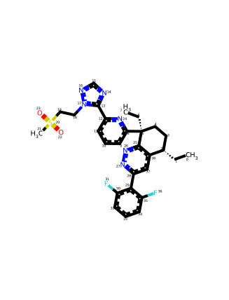 CC[C@H]1CC[C@](CC)(c2cccc(-c3ncnn3CCS(C)(=O)=O)n2)c2nnc(-c3c(F)cccc3F)cc21